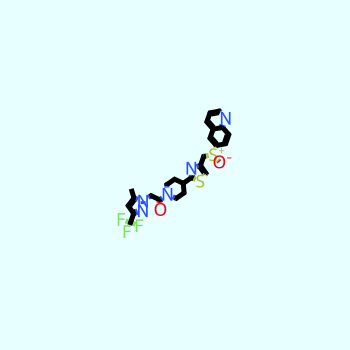 Cc1cc(C(F)(F)F)nn1CC(=O)N1CCC(c2nc(C[S+]([O-])c3ccc4ncccc4c3)cs2)CC1